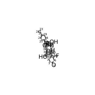 C[C@]12C=CC(=O)C=C1[C@@H](F)C[C@H]1[C@@H]3C[C@H]4CN(c5ccc(C6CC6)cc5)O[C@@]4(C(=O)CO)[C@@]3(C)C[C@H](O)[C@@]12F